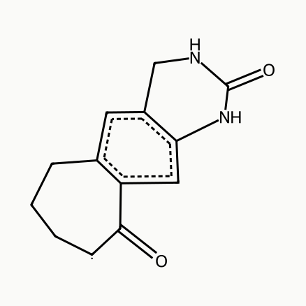 O=C1NCc2cc3c(cc2N1)C(=O)[CH]CCC3